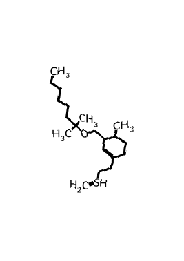 C=[SH]CCC1=CC(COC(C)(C)CCCCCC)C(C)CC1